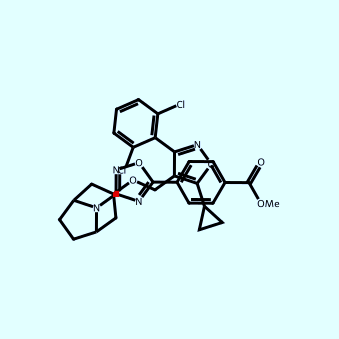 COC(=O)c1ccc(-c2nc(N3C4CCC3CC(OCc3c(-c5c(Cl)cccc5Cl)noc3C3CC3)C4)no2)cc1